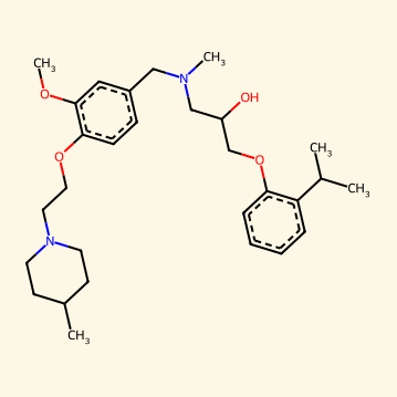 COc1cc(CN(C)CC(O)COc2ccccc2C(C)C)ccc1OCCN1CCC(C)CC1